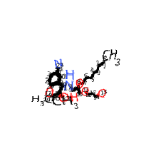 CCCCCCCCO/C(=C\OCCC=O)CNC1c2cc(C#N)ccc2OC(C)(C)C1O